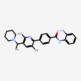 Cc1nc(-c2ccc(C(=O)Nc3ccccc3N)cc2)c(C#N)cc1C(C)N1CCCCC1